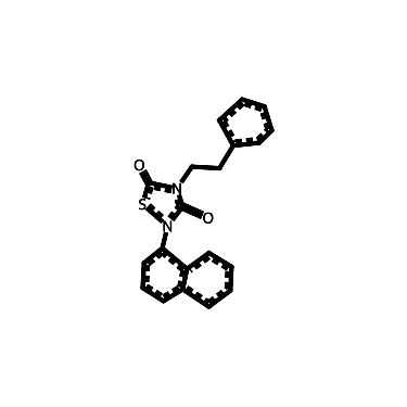 O=c1sn(-c2cccc3ccccc23)c(=O)n1CCc1ccccc1